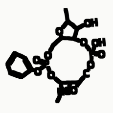 CC1OC2COP(=O)(Oc3ccccc3)OC3C(C)OC(COP(=O)(O)OC2C1O)C3O